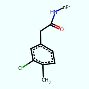 CCCNC(=O)Cc1ccc(C)c(Cl)c1